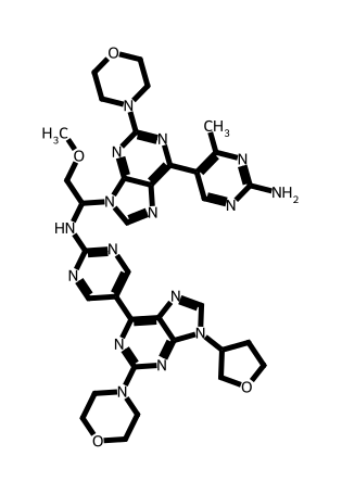 COCC(Nc1ncc(-c2nc(N3CCOCC3)nc3c2ncn3C2CCOC2)cn1)n1cnc2c(-c3cnc(N)nc3C)nc(N3CCOCC3)nc21